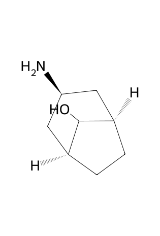 N[C@H]1C[C@H]2CC[C@@H](C1)C2O